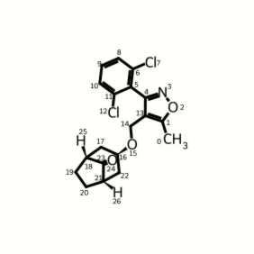 Cc1onc(-c2c(Cl)cccc2Cl)c1CO[C@@H]1C[C@H]2CC[C@@H](C1)C2=O